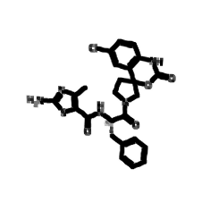 Cc1nc(N)sc1C(=O)N[C@@H](Cc1ccccc1)C(=O)N1CCC2(C1)OC(=O)Nc1ccc(Cl)cc12